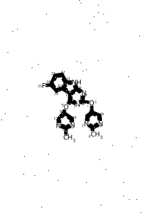 Cc1ncc(Oc2nc(Oc3cnc(C)nc3)c3c(n2)[nH]c2[c]cc(F)cc23)cn1